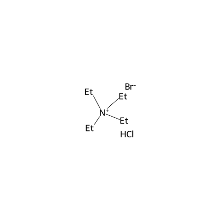 CC[N+](CC)(CC)CC.Cl.[Br-]